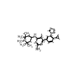 CN1C(C)(C)CC(Nc2nc(N)nc(-c3ccc(C4CC4)c(-n4cnnn4)c3)c2F)CC1(C)C